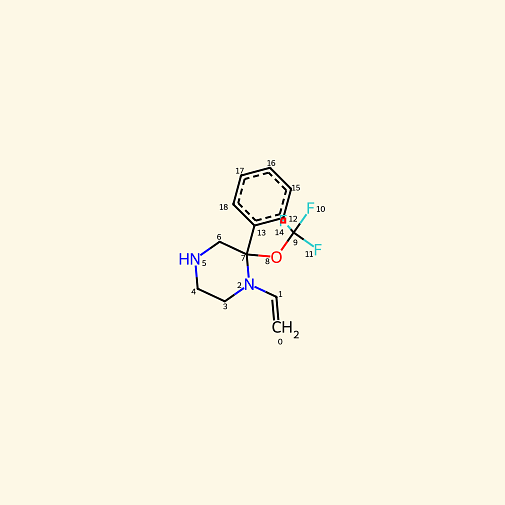 C=CN1CCNCC1(OC(F)(F)F)c1ccccc1